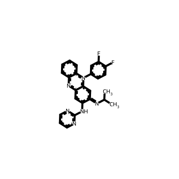 CC(C)/N=c1\cc2n(-c3ccc(F)c(F)c3)c3ccccc3nc-2cc1Nc1ncccn1